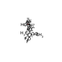 COCOc1cc(OC(F)F)cc(C)c1-c1cc2c(nn1)N(C1CCC3CCC1N3C(=O)O)CC2